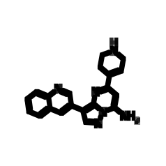 Nc1cc(C2=CCNCC2)nc2c(-c3cnc4ccccc4c3)cnn12